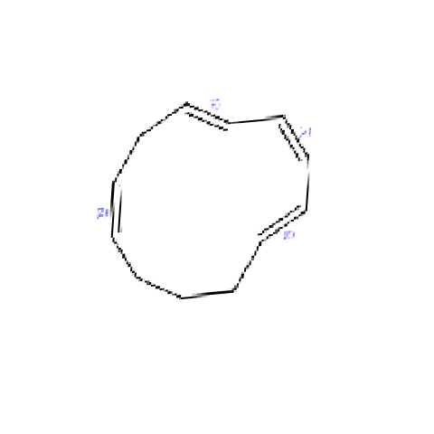 C1=C\C=C\CCC/C=C\C/C=C/1